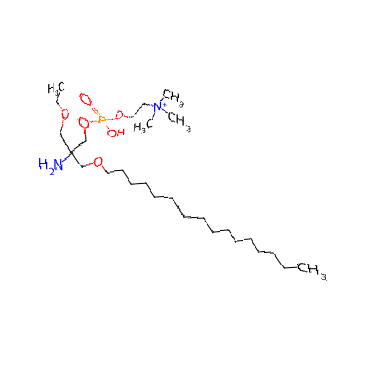 CCCCCCCCCCCCCCCCOCC(N)(COCC)COP(=O)(O)OCC[N+](C)(C)C